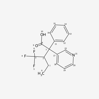 CCC(C(F)(F)F)C(C(=O)O)(c1ccccc1)c1cccnc1